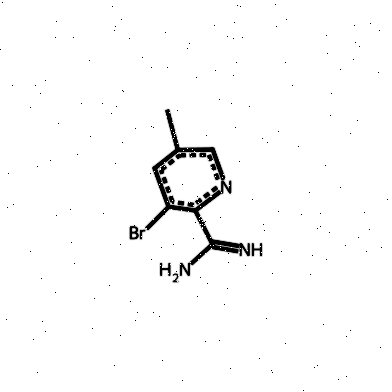 Cc1cnc(C(=N)N)c(Br)c1